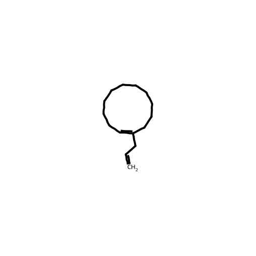 C=CCC1=CCCCCCCCCCC1